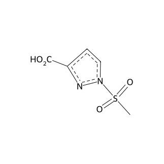 CS(=O)(=O)n1ccc(C(=O)O)n1